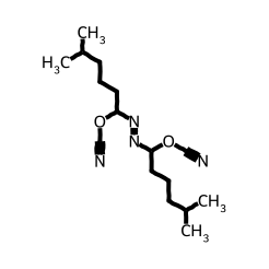 CC(C)CCCC(N=NC(CCCC(C)C)OC#N)OC#N